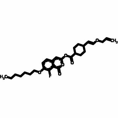 C=CCO/C=C/C1CCC(C(=O)Oc2cc3ccc(OCCCCCCC)c(F)c3c(=O)o2)CC1